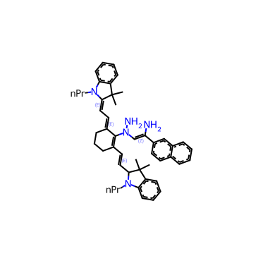 CCCN1/C(=C/C=C2\CCCC(/C=C/C3N(CCC)c4ccccc4C3(C)C)=C2N(N)/C=C(\N)c2ccc3ccccc3c2)C(C)(C)c2ccccc21